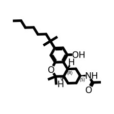 CCCCCCC(C)(C)c1cc(O)c2c(c1)OC(C)(C)[C@@H]1CC[C@H](NC(C)=O)C[C@@H]21